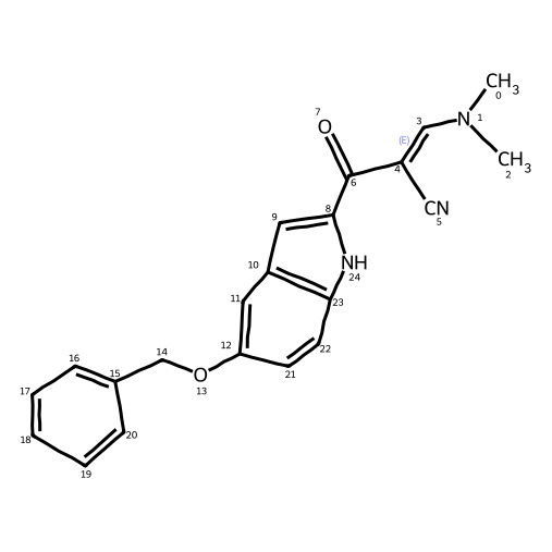 CN(C)/C=C(\C#N)C(=O)c1cc2cc(OCc3ccccc3)ccc2[nH]1